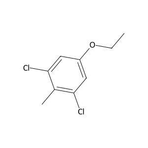 CCOc1cc(Cl)c(C)c(Cl)c1